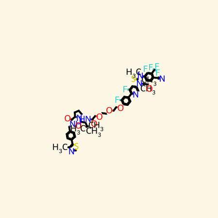 Cc1ncsc1-c1ccc(CNC(=O)C2CCCN2C(=O)C(NC(=O)COCCOCCOc2ccc(-c3ncc(N(C(=S)N(C)c4ccc(C#N)c(C(F)(F)F)c4F)C(C)(C)C=O)cc3F)cc2F)C(C)(C)C)cc1